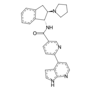 O=C(N[C@@H]1c2ccccc2C[C@H]1N1CCCC1)c1ccc(-c2ccnc3[nH]ccc23)nc1